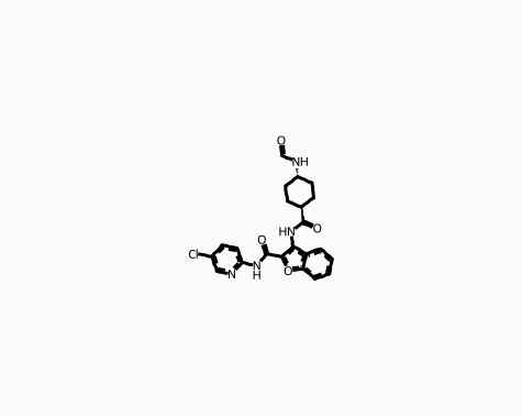 O=CN[C@H]1CC[C@H](C(=O)Nc2c(C(=O)Nc3ccc(Cl)cn3)oc3ccccc23)CC1